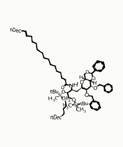 CCCCCCCCCCCCCCCCCCCCCCCCCC(=O)N[C@@H](C[C@H]1O[C@@H]2COC(c3ccccc3)O[C@@H]2[C@H](OCc2ccccc2)[C@H]1OCc1ccccc1)[C@H](O[Si](C)(C)C(C)(C)C)[C@@H](CCCCCCCCCCCCCC)O[Si](C)(C)C(C)(C)C